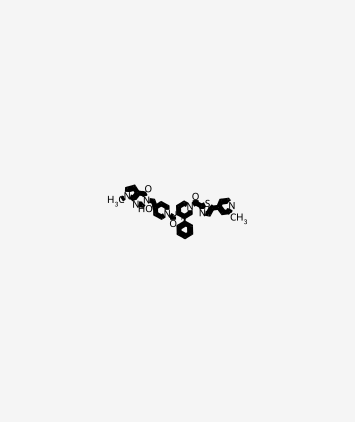 Cc1cc(-c2cnc(C(=O)N3CC[C@@H](C(=O)N4CCC(O)(Cn5cnc6c(ccn6C)c5=O)CC4)[C@H](c4ccccc4)C3)s2)ccn1